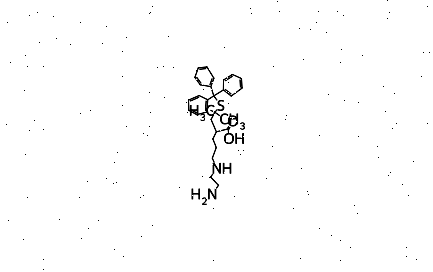 CC(C)(CC(CCCNCCN)C(=O)O)SC(c1ccccc1)(c1ccccc1)c1ccccc1